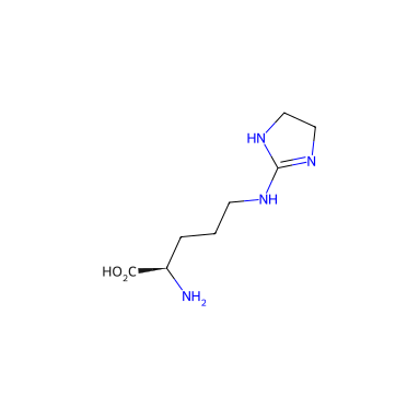 N[C@H](CCCNC1=NCCN1)C(=O)O